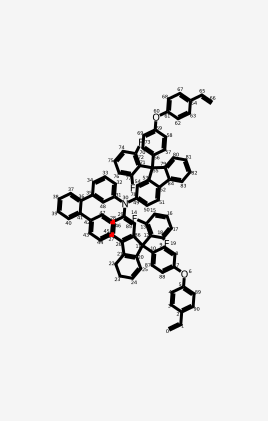 C=Cc1ccc(Oc2ccc(C3(c4c(F)cccc4F)C4=C(CCC=C4)c4ccc(N(c5cccc(-c6ccccc6-c6ccccc6)c5)c5ccc6c(c5)C(c5ccc(Oc7ccc(C=C)cc7)cc5)(c5c(F)cccc5F)c5ccccc5-6)cc43)cc2)cc1